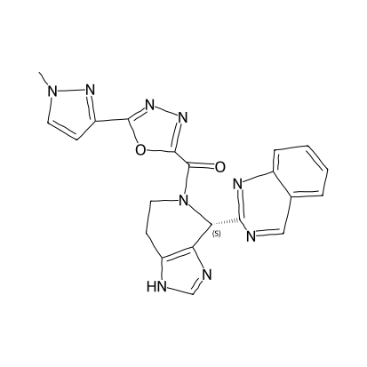 Cn1ccc(-c2nnc(C(=O)N3CCc4[nH]cnc4[C@H]3c3ncc4ccccc4n3)o2)n1